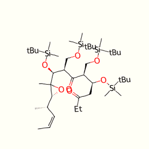 C/C=C\[C@H](C)[C@H]1OC1(C)[C@@H](O[Si](C)(C)C(C)(C)C)[C@@H](CO[Si](C)(C)C(C)(C)C)C(=O)[C@@H](CO[Si](C)(C)C(C)(C)C)[C@H](CC(=O)CC)O[Si](C)(C)C(C)(C)C